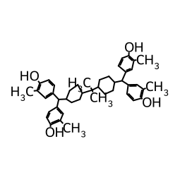 Cc1cc(C(c2ccc(O)c(C)c2)C2CCC(C(C)(C)C3CCC(C(c4ccc(O)c(C)c4)c4ccc(O)c(C)c4)CC3)CC2)ccc1O